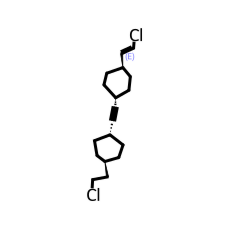 Cl/C=C/[C@H]1CC[C@H](C#C[C@H]2CC[C@H](CCCl)CC2)CC1